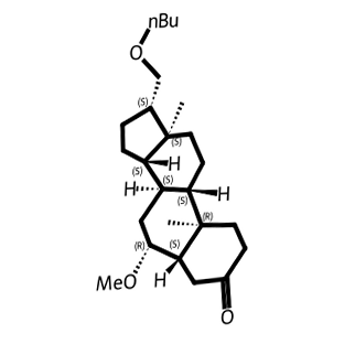 CCCCOC[C@H]1CC[C@H]2[C@@H]3C[C@@H](OC)[C@H]4CC(=O)CC[C@]4(C)[C@H]3CC[C@]12C